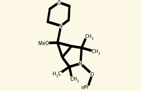 CCCON1C(C)(C)C2C(C1(C)C)C2(OC)N1CCOCC1